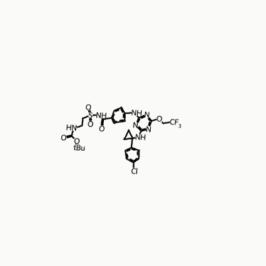 CC(C)(C)OC(=O)NCCS(=O)(=O)NC(=O)c1ccc(Nc2nc(NC3(c4ccc(Cl)cc4)CC3)nc(OCC(F)(F)F)n2)cc1